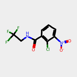 O=C(NCC(F)(F)F)c1cccc([N+](=O)[O-])c1Cl